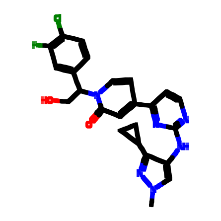 Cn1cc(Nc2nccc(-c3ccn(C(CO)c4ccc(Cl)c(F)c4)c(=O)c3)n2)c(C2CC2)n1